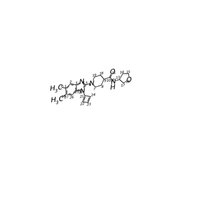 Cc1cc2nc(N3CCC(C(=O)NC4CCOC4)CC3)n(C3=CC=C3)c2cc1C